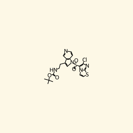 CC(C)(C)OC(=O)NCCc1cn(S(=O)(=O)c2c(Cl)nc3sccn23)c2ccncc12